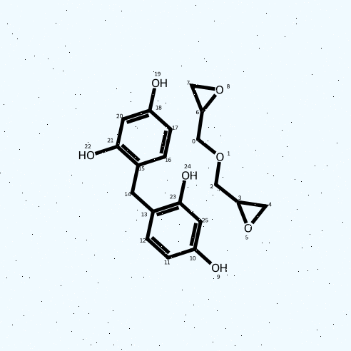 C(OCC1CO1)C1CO1.Oc1ccc(Cc2ccc(O)cc2O)c(O)c1